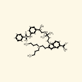 CCCCN(CCCC)CCc1cc2cc(C(=O)O)ccc2n1CCC(C)(C)NC[C@H](O)c1cccc(NS(=O)(=O)c2ccccc2)c1